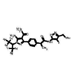 [2H]C([2H])([2H])C(n1nc(-c2ccc(C(C)C(=O)Nc3onc(CC(C)(C)C)c3F)cc2)c(C(N)=O)c1N)C([2H])([2H])[2H]